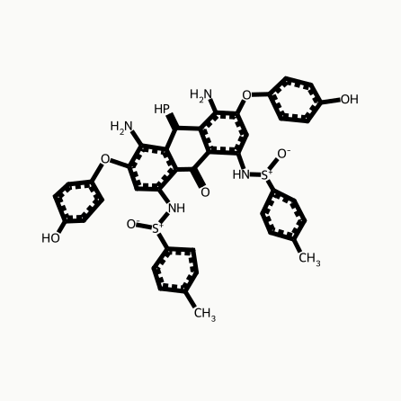 Cc1ccc([S+]([O-])Nc2cc(Oc3ccc(O)cc3)c(N)c3c2C(=O)c2c(N[S+]([O-])c4ccc(C)cc4)cc(Oc4ccc(O)cc4)c(N)c2C3=P)cc1